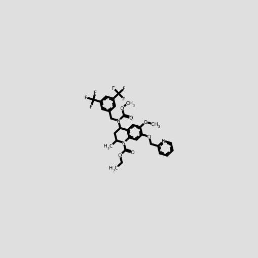 CCOC(=O)N1c2cc(OCc3ccccn3)c(OC)cc2C(N(Cc2cc(C(F)(F)F)cc(C(F)(F)F)c2)C(=O)OC)CC1C